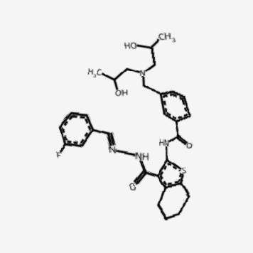 CC(O)CN(Cc1cccc(C(=O)Nc2sc3c(c2C(=O)NN=Cc2cccc(F)c2)CCCC3)c1)CC(C)O